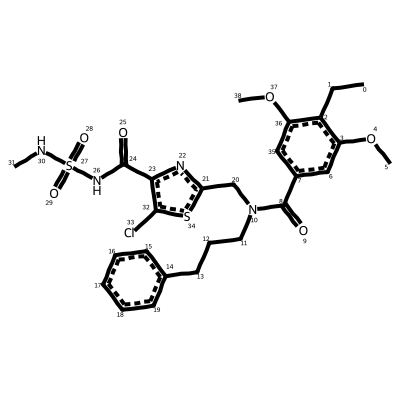 CCc1c(OC)cc(C(=O)N(CCCc2ccccc2)Cc2nc(C(=O)NS(=O)(=O)NC)c(Cl)s2)cc1OC